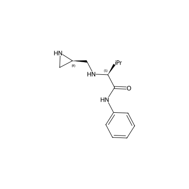 CC(C)[C@H](NC[C@H]1CN1)C(=O)Nc1ccccc1